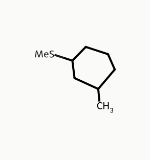 CSC1CCCC(C)C1